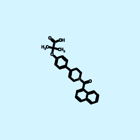 CC(C)(Oc1ccc(C2=CCN(C(=O)c3cccc4ccccc34)CC2)cc1)C(=O)O